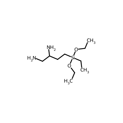 CCO[Si](CC)(CCC(N)CN)OCC